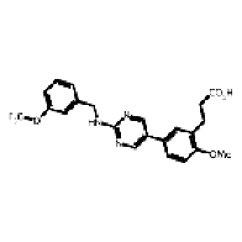 COc1ccc(-c2cnc(NCc3cccc(OC(F)(F)F)c3)nc2)cc1CCC(=O)O